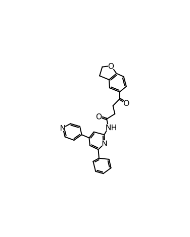 O=C(CCC(=O)c1ccc2c(c1)CCO2)Nc1cc(-c2ccncc2)cc(-c2ccccc2)n1